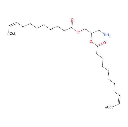 CCCCCCCC/C=C\CCCCCCCC(=O)OC[C@H](CN)OC(=O)CCCCCCC/C=C\CCCCCCCC